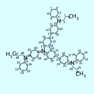 CCCN(c1ccccc1)c1ccc(-c2ccc3c(c2)c2cc(-c4ccc(N(CCC)c5ccccc5)cc4)ccc2n3-c2ccc(N(CCC)c3ccccc3)cc2)cc1